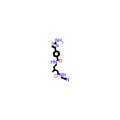 CC(CCNC(=O)c1ccc(-c2csc(N)n2)cc1)CC(=O)NCC#N